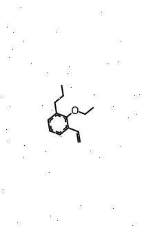 C=Cc1cccc(CCC)c1OCC